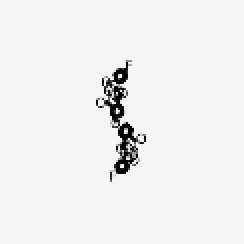 O=C1c2ccc(Oc3ccc4c(c3)C(=O)N(OS(=O)(=O)c3ccc(F)cc3)C4=O)cc2C(=O)N1OS(=O)(=O)c1ccc(F)cc1